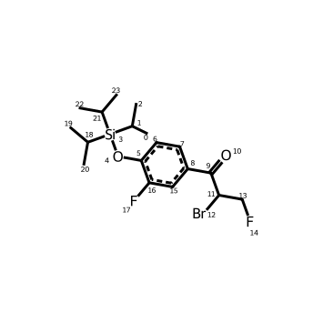 CC(C)[Si](Oc1ccc(C(=O)C(Br)CF)cc1F)(C(C)C)C(C)C